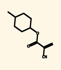 C=C(C#N)C(=O)OC1CCC(C)CC1